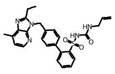 C=CCNC(=O)NS(=O)(=O)c1ccccc1-c1ccc(Cn2c(CC)nc3c(C)ccnc32)cc1